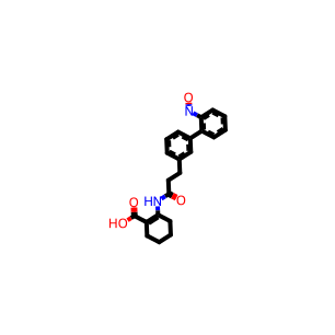 O=Nc1ccccc1-c1cccc(CCC(=O)NC2=C(C(=O)O)CCCC2)c1